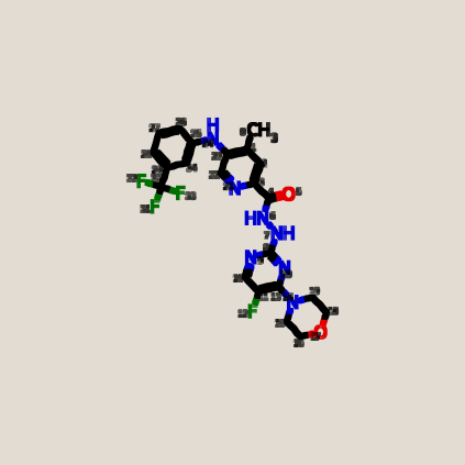 Cc1cc(C(=O)NNc2ncc(F)c(N3CCOCC3)n2)ncc1Nc1cccc(C(F)(F)F)c1